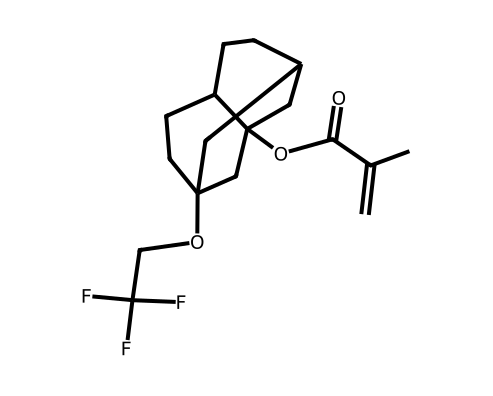 C=C(C)C(=O)OC12CC3CCC1CCC(OCC(F)(F)F)(C3)C2